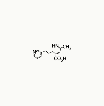 CC(=N)/C=C(\CCCc1cccnc1)C(=O)O